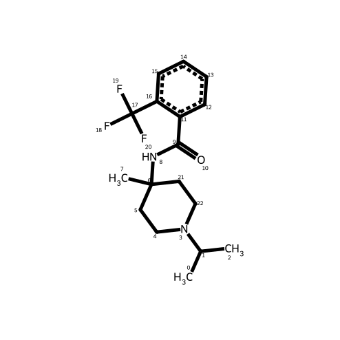 CC(C)N1CCC(C)(NC(=O)c2ccccc2C(F)(F)F)CC1